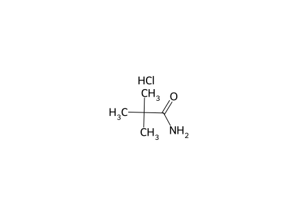 CC(C)(C)C(N)=O.Cl